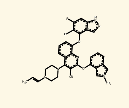 CC=CN1CCN(c2c(C#N)c(Oc3cccc4cn(C)cc34)nc3c(Oc4c(Cl)c(F)cc5[nH]ncc45)cccc23)CC1